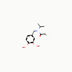 COc1ccc(CN(C(=O)CCl)C(C)C)cc1OC